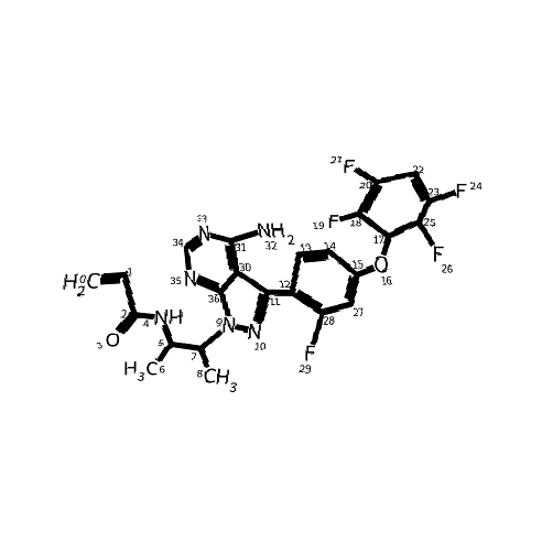 C=CC(=O)NC(C)C(C)n1nc(-c2ccc(OC3C(F)=C(F)C=C(F)C3F)cc2F)c2c(N)ncnc21